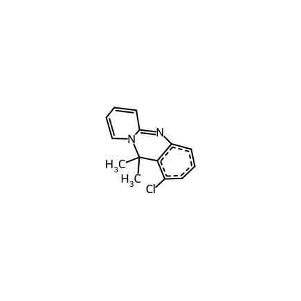 CC1(C)c2c(Cl)cccc2N=C2C=CC=CN21